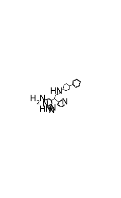 Nc1cc(C(CCNC2CCC(c3ccccc3)CC2)c2cccnc2)c2nn[nH]c2n1